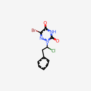 O=c1[nH]c(=O)n(C(Cl)Cc2ccccc2)nc1Br